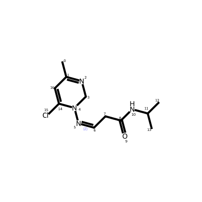 CC1=NCN(/N=C\CC(=O)NC(C)C)C(Cl)=C1